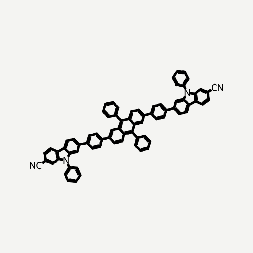 N#Cc1ccc2c3ccc(-c4ccc(-c5ccc6c(-c7ccccc7)c7cc(-c8ccc(-c9ccc%10c%11ccc(C#N)cc%11n(-c%11ccccc%11)c%10c9)cc8)ccc7c(-c7ccccc7)c6c5)cc4)cc3n(-c3ccccc3)c2c1